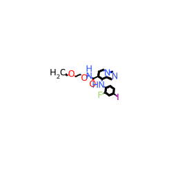 C=COCCONC(=O)c1ccn2cncc2c1Nc1ccc(I)cc1F